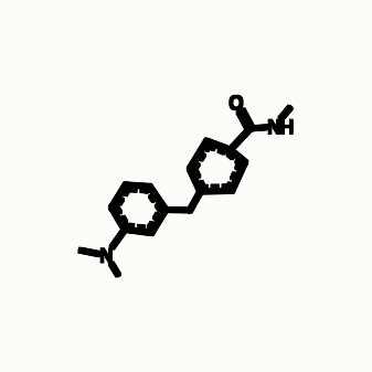 CNC(=O)c1ccc(Cc2cccc(N(C)C)c2)cc1